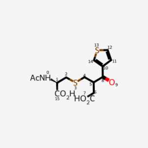 CC(=O)N[C@@H](CSCC(CC(=O)O)C(=O)c1ccsc1)C(=O)O